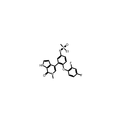 CCS(C)(=O)=Nc1ccc(Oc2ccc(F)cc2F)c(-c2cn(C)c(=O)c3[nH]ccc23)c1